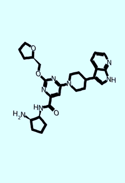 N[C@@H]1CCC[C@@H]1NC(=O)c1cc(N2CCC(c3c[nH]c4ncccc34)CC2)nc(OC[C@H]2CCCO2)n1